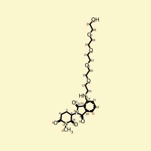 CN1C(=O)CCC(N2C(=O)c3cccc(NCCOCCOCCOCCOCCO)c3C2=O)C1=O